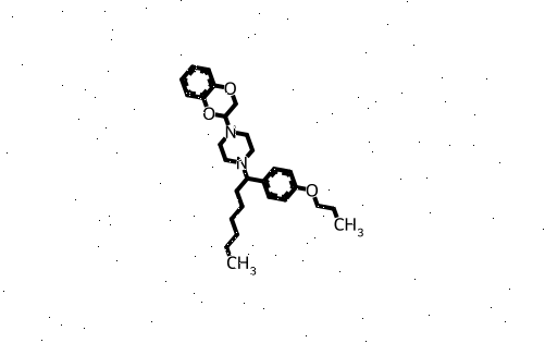 CCCCCCC(c1ccc(OCCC)cc1)N1CCN(C2COc3ccccc3O2)CC1